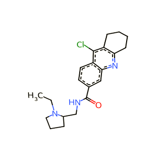 CCN1CCCC1CNC(=O)c1ccc2c(Cl)c3c(nc2c1)CCCC3